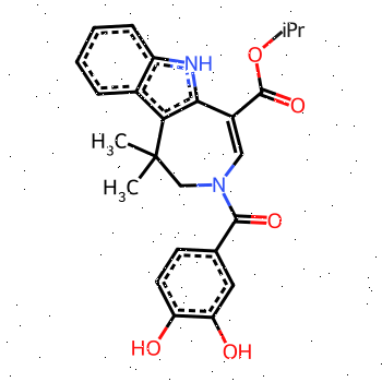 CC(C)OC(=O)C1=CN(C(=O)c2ccc(O)c(O)c2)CC(C)(C)c2c1[nH]c1ccccc21